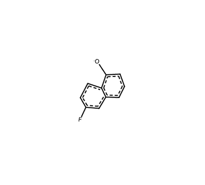 [O]c1cccc2cc(F)ccc12